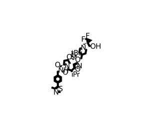 Cc1ncsc1-c1ccc(CNC(=O)[C@@H]2C[C@@H](O[Si](C)(C)C(C)(C)C)CN2C(=O)C(c2cc(OCC3CCN(C[C@@]4(CO)CC4(F)F)CC3)no2)C(C)C)cc1